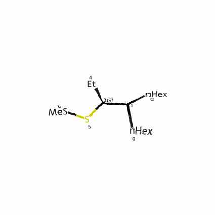 CCCCCCC(CCCCCC)[C@H](CC)SSC